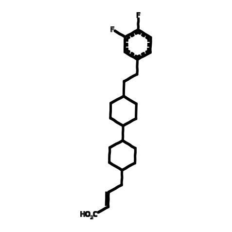 O=C(O)/C=C/CC1CCC(C2CCC(CCc3ccc(F)c(F)c3)CC2)CC1